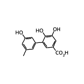 Cc1cc(O)cc(-c2cc(C(=O)O)cc(O)c2O)c1